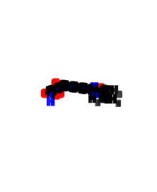 CC1(C)CC(C)(C)C1NC(=O)c1ncc(N2CCN(C3CCN(c4ccc5c(c4)C(=O)N(C4CCC(=O)NC4=O)C5=O)CC3)CC2)cn1